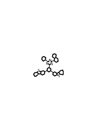 c1ccc(-c2nc(-c3cc(-c4ccc5c(c4)sc4ccccc45)cc(-c4ccc5sc6ccccc6c5c4)c3)nc(-c3cccc4ccccc34)n2)cc1